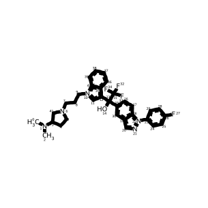 CN(C)C1CCN(CCCn2cc(C(O)(c3ccc4c(cnn4-c4ccc(F)cc4)c3)C(F)(F)F)c3ccccc32)C1